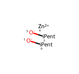 CCCC(C)[O-].CCCC(C)[O-].[Zn+2]